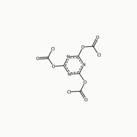 O=C(Cl)Oc1nc(OC(=O)Cl)nc(OC(=O)Cl)n1